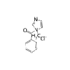 C[N+]1(C(=O)c2ccccc2)C=CN=C1.[Cl-]